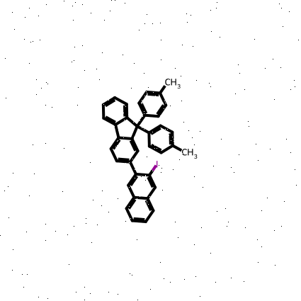 Cc1ccc(C2(c3ccc(C)cc3)c3ccccc3-c3ccc(-c4cc5ccccc5cc4I)cc32)cc1